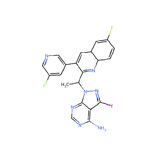 CC(C1=NC2C=CC(F)=CC2C=C1c1cncc(F)c1)n1nc(I)c2c(N)ncnc21